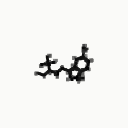 CCC(OCc1n[nH]c2ccc(Br)cc12)[Si](C)(C)C